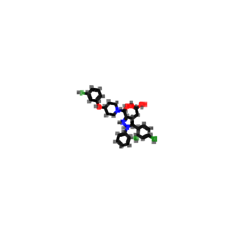 O=C(O)Cc1c(C(=O)N2CCC(Oc3cccc(F)c3)CC2)nn(-c2ccccc2Cl)c1-c1ccc(Cl)cc1